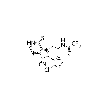 N#Cc1c(-c2sccc2Cl)n(CCNC(=O)C(F)(F)F)c2c(=S)[nH]cnc12